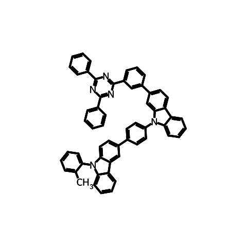 Cc1ccccc1-n1c2ccccc2c2cc(-c3ccc(-n4c5ccccc5c5ccc(-c6cccc(-c7nc(-c8ccccc8)nc(-c8ccccc8)n7)c6)cc54)cc3)ccc21